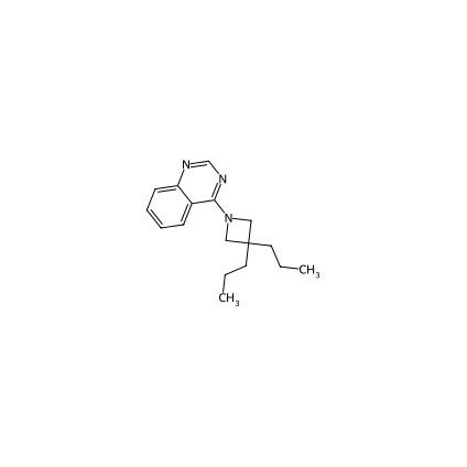 CCCC1(CCC)CN(c2ncnc3ccccc23)C1